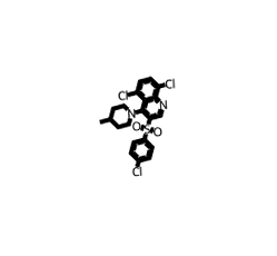 CC1CCN(c2c(S(=O)(=O)c3ccc(Cl)cc3)cnc3c(Cl)ccc(Cl)c23)CC1